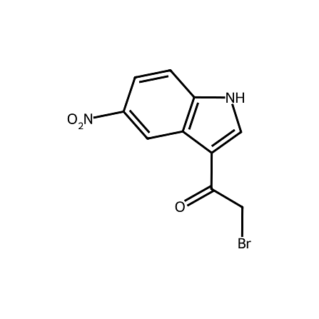 O=C(CBr)c1c[nH]c2ccc([N+](=O)[O-])cc12